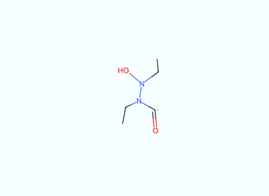 CCN(O)N([C]=O)CC